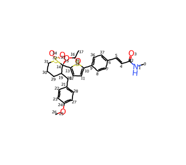 CNC(=O)C=Cc1ccc(-c2ccc([C@]3(OC(C)=O)C(Cc4ccc(OC)cc4)CCCS3(=O)=O)s2)cc1